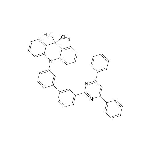 CC1(C)c2ccccc2N(c2cccc(-c3cccc(-c4nc(-c5ccccc5)cc(-c5ccccc5)n4)c3)c2)c2ccccc21